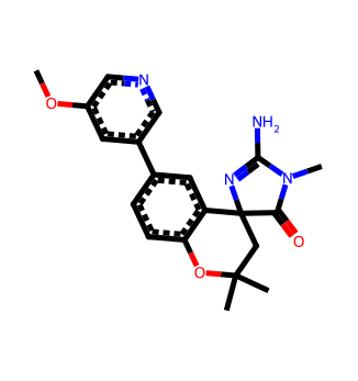 COc1cncc(-c2ccc3c(c2)C2(CC(C)(C)O3)N=C(N)N(C)C2=O)c1